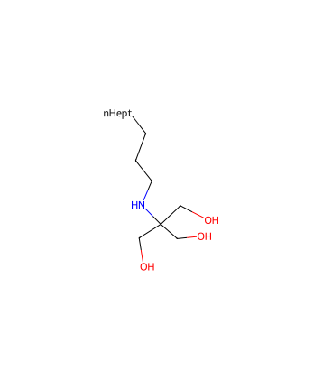 CCCCCCCCCCNC(CO)(CO)CO